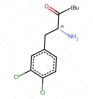 CC(C)(C)C(=O)[C@H](N)Cc1ccc(Cl)c(Cl)c1